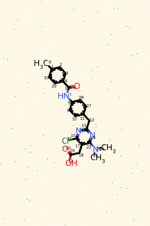 Cc1ccc(C(=O)Nc2ccc(Cc3nc(Cl)c(CC(=O)O)c(N(C)C)n3)cc2)cc1